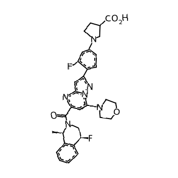 C[C@@H]1c2ccccc2[C@H](F)CN1C(=O)c1cc(N2CCOCC2)n2nc(-c3ccc(N4CCC(C(=O)O)C4)cc3F)cc2n1